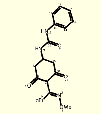 CCCC(=NOC)C1C(=O)CC(NC(=O)Nc2ccccc2)CC1=O